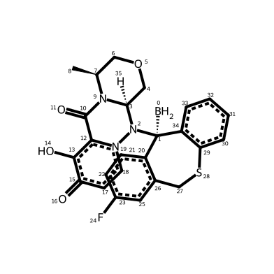 B[C@@]1(N2[C@@H]3COC[C@H](C)N3C(=O)c3c(O)c(=O)ccn32)c2ccc(F)cc2CSc2ccccc21